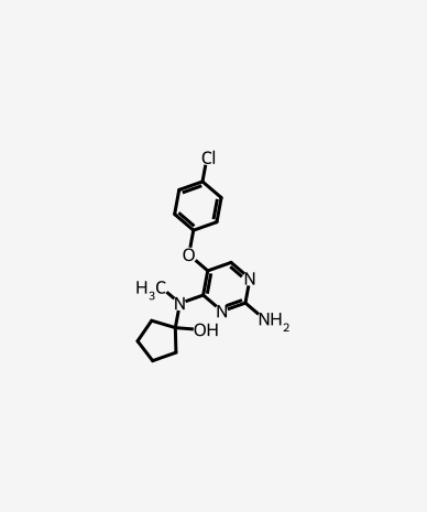 CN(c1nc(N)ncc1Oc1ccc(Cl)cc1)C1(O)CCCC1